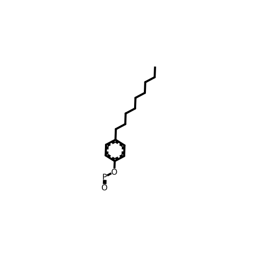 CCCCCCCCCc1ccc(OP=O)cc1